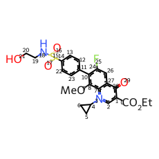 CCOC(=O)c1cn(C2CC2)c2c(OC)c(-c3ccc(S(=O)(=O)NCCO)cc3)c(F)cc2c1=O